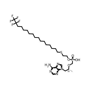 C[C@H](Cn1cnc2c(N)ncnc21)OCP(=O)(O)OCCSCCCCCCCCCCCCCCCC(F)(F)C(F)(F)F